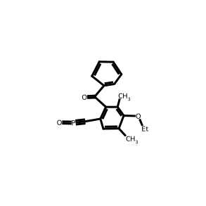 CCOc1c(C)cc(C#P=O)c(C(=O)c2ccccc2)c1C